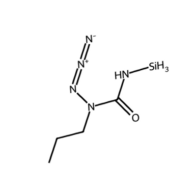 CCCN(N=[N+]=[N-])C(=O)N[SiH3]